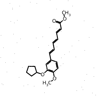 COC(=O)/C=C/C=C/C=C/c1ccc(OC)c(OC2CCCC2)c1